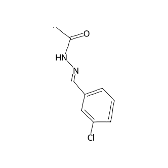 [CH2]C(=O)NN=Cc1cccc(Cl)c1